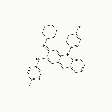 Cc1ccc(Nc2cc3nc4ccccc4n(C4=CC=C(Br)CC4)c-3c/c2=N\C2CCCCC2)cn1